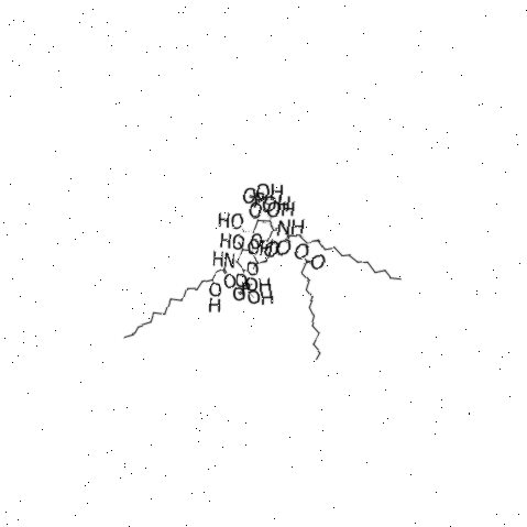 CCCCCCCCCCCC(=O)O[C@H](CCCCCCCCCCC)CC(=O)N[C@H]1C(OC[C@H]2OC(OP(=O)(O)O)[C@H](NC(=O)C[C@H](O)CCCCCCCCCCC)[C@@H](O)[C@@H]2O)O[C@H](CO)[C@@H](OP(=O)(O)O)[C@@H]1O